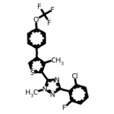 Cc1c(-c2ccc(OC(F)(F)F)cc2)csc1-c1nc(-c2c(F)cccc2Cl)nn1C